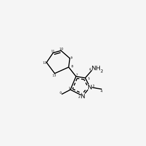 Cc1nn(C)c(N)c1C1CC=CCC1